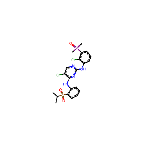 CC(C)S(=O)(=O)c1ccccc1Nc1nc(Nc2cccc(P(C)(C)=O)c2Cl)ncc1Cl